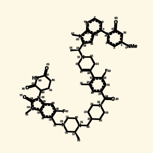 CNc1ccn(-c2ccnc3c2cc([C@H](C)N2CC=C(c4c(C)cc(C(=O)N5CCC(CN6CCN(Cc7cc8c(cc7F)n(C7CCC(=O)NC7=O)c(=O)n8C)C[C@@H]6C)CC5)cc4F)CC2)n3C)c(=O)c1